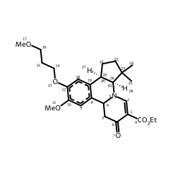 CCOC(=O)C1=CN2C(CC1=O)c1cc(OC)c(OCCCOC)cc1[C@H]1CCC(C)(C)[C@H]12